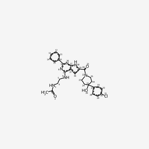 CC(=O)NCCNc1nc(-c2ccccc2)nc2[nH]c(C(=O)N3CCC(O)(c4ccc(Cl)cc4)CC3)cc12